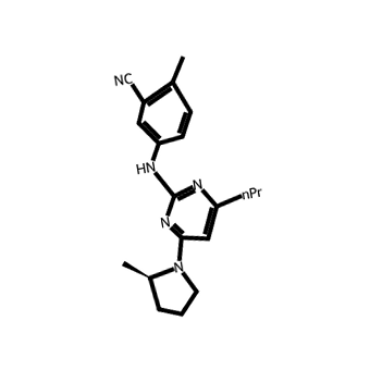 CCCc1cc(N2CCC[C@H]2C)nc(Nc2ccc(C)c(C#N)c2)n1